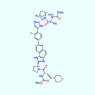 COC(=O)NC(/C=C/C1CCOCC1)C(=O)N1CCC[C@H]1c1nc2ccc3cc(-c4ccc(-c5cnc([C@@H]6[C@H]7CC[C@H](C7)N6C(=O)[C@@H](NC(=O)OC)C(C)C)[nH]5)c(F)c4)ccc3c2[nH]1